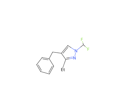 CCc1nn(C(F)F)cc1Cc1ccccc1